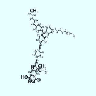 CCCCCCc1ccc(N(c2ccc(C#Cc3ccc(C#CC4=Nc5cc(C(=O)O)c(C(=O)O)cc5C4(C)C)cc3)cc2)c2ccc(CCCCCC)cc2)cc1